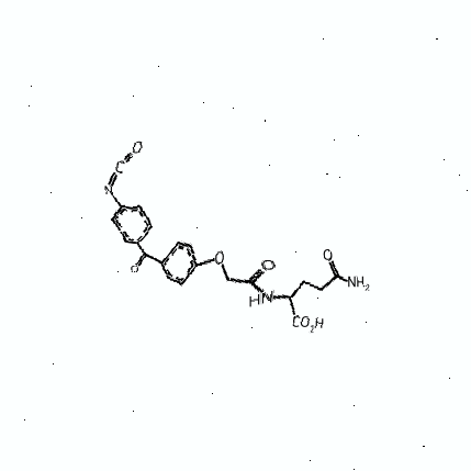 NC(=O)CCC(NC(=O)COc1ccc(C(=O)c2ccc(N=C=O)cc2)cc1)C(=O)O